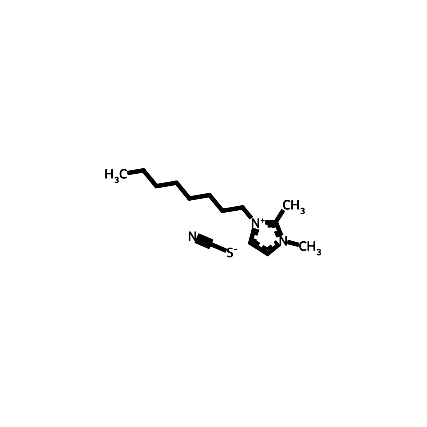 CCCCCCCC[n+]1ccn(C)c1C.N#C[S-]